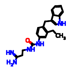 CCc1cc(NC(=O)NCCC(=N)N)ccc1Cc1c[nH]c2ccccc12